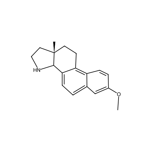 COc1ccc2c3c(ccc2c1)C1NCC[C@]1(C)CC3